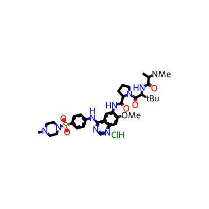 CNC(C)C(=O)NC(C(=O)N1CCCC1C(=O)Nc1cc2c(Nc3ccc(S(=O)(=O)N4CCN(C)CC4)cc3)ncnc2cc1OC)C(C)(C)C.Cl